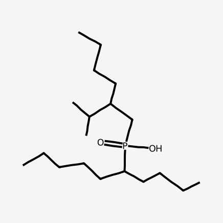 CCCCCC(CCCC)P(=O)(O)CC(CCCC)C(C)C